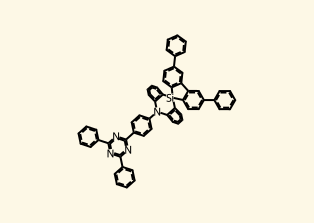 c1ccc(-c2ccc3c(c2)-c2cc(-c4ccccc4)ccc2[Si]32c3ccccc3N(c3ccc(-c4nc(-c5ccccc5)nc(-c5ccccc5)n4)cc3)c3ccccc32)cc1